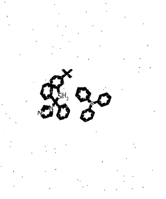 CC(C)(C)c1cccc([SiH2]C(c2ccccc2)(c2ccccc2)n2ccnc2)c1.c1ccc(B(c2ccccc2)c2ccccc2)cc1